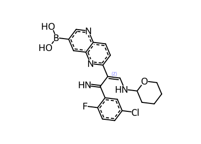 N=C(/C(=C\NC1CCCCO1)c1ccc2ncc(B(O)O)cc2n1)c1cc(Cl)ccc1F